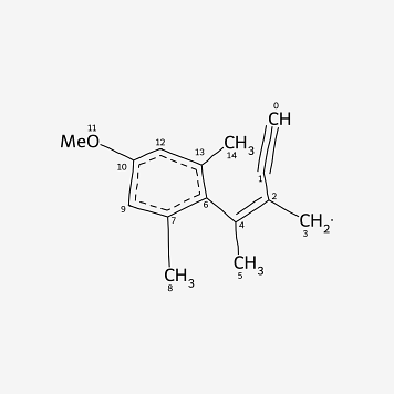 C#C/C([CH2])=C(/C)c1c(C)cc(OC)cc1C